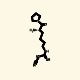 N#CNC(=N)NCCCC[C@H](N)C(=O)N1CCCC1